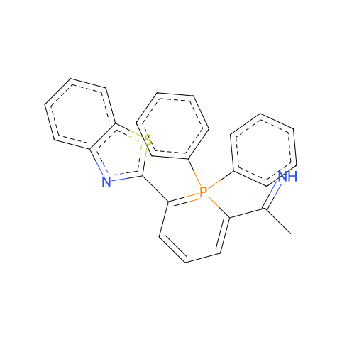 CC(=N)C1=CC=CC(c2nc3ccccc3s2)=P1(c1ccccc1)c1ccccc1